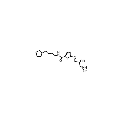 CC(C)NCC(O)COc1ncc(C(=O)NCCCCC2CCCC2)s1